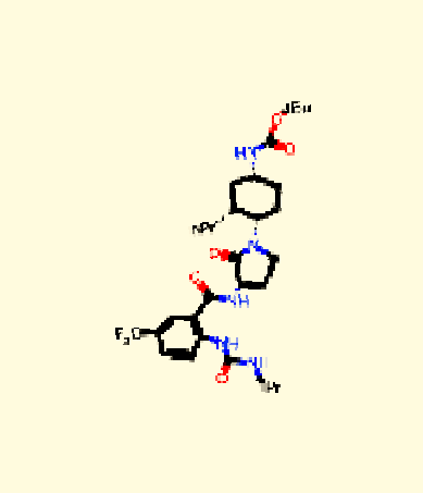 CCC[C@@H]1C[C@H](NC(=O)OC(C)(C)C)CC[C@@H]1N1CC[C@H](NC(=O)c2cc(C(F)(F)F)ccc2NC(=O)NC(C)C)C1=O